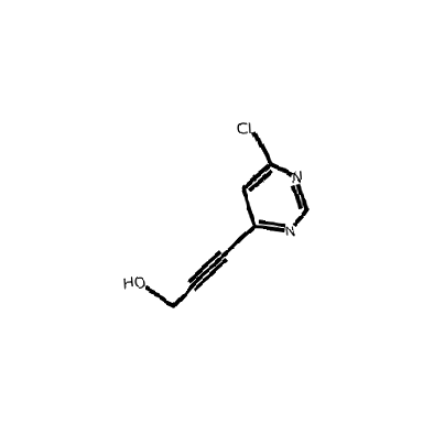 OCC#Cc1cc(Cl)ncn1